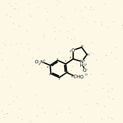 O=Cc1ccc([N+](=O)[O-])cc1C1OCC[NH+]1[O-]